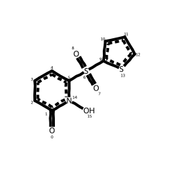 O=c1cccc(S(=O)(=O)c2cccs2)n1O